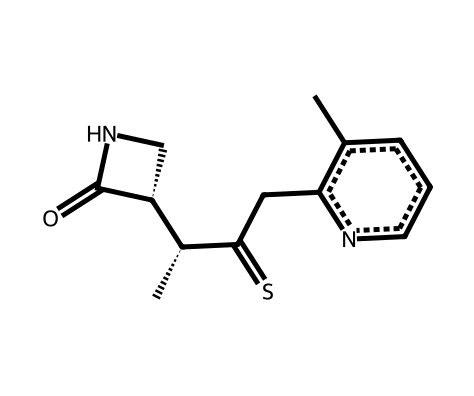 Cc1cccnc1CC(=S)[C@H](C)[C@H]1CNC1=O